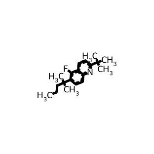 CCCC(C)(C)c1ccc2nc(C(C)(C)C)ccc2c1F